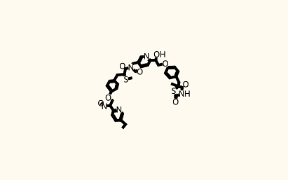 CCc1ccc(C(COc2ccc(CC(SC)C(=O)N(C=O)Cc3ccc(C(O)COc4ccc(CC5(C)SC(=O)NC5=O)cc4)nc3)cc2)N=O)nc1